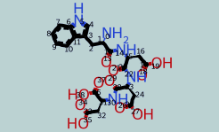 N[C@@H](Cc1c[nH]c2ccccc12)C(=O)N[C@@H](CC(=O)O)C(=O)N[C@@H](CC(=O)O)C(=O)N[C@@H](CC(=O)O)C(=O)O